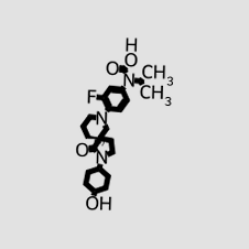 CC(C)N(C(=O)O)c1ccc(N2CCC[C@]3(CCN(C4CCC(O)CC4)C3=O)C2)c(F)c1